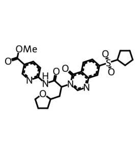 COC(=O)c1ccc(NC(=O)C(CC2CCCO2)n2cnc3cc(S(=O)(=O)C4CCCC4)ccc3c2=O)nc1